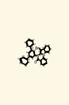 O=c1c2ccccc2n2c3ccccc3c(Br)c2n1-c1cc(-c2ccccc2)cc(-c2ccccc2)c1